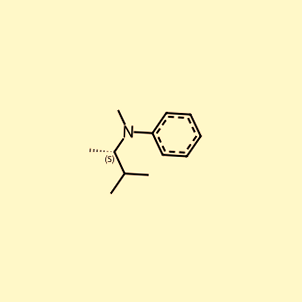 CC(C)[C@H](C)N(C)c1ccccc1